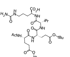 CC(=O)N[C@@H](CCC(=O)OC(C)(C)C)C(=O)N[C@@H](CCC(=O)OC(C)(C)C)C(=O)N[C@H](C(=O)N[C@@H](CCCNC(N)=O)C(=O)O)C(C)C